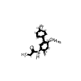 C=CC(=O)Nc1cc(-c2ccc(C(C)C)cc2)c(OC)cc1F